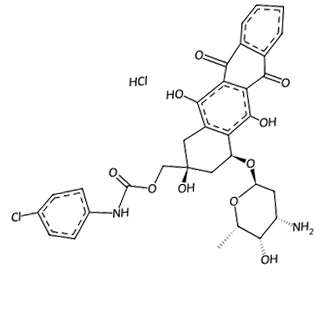 C[C@@H]1O[C@@H](O[C@H]2C[C@](O)(COC(=O)Nc3ccc(Cl)cc3)Cc3c(O)c4c(c(O)c32)C(=O)c2ccccc2C4=O)C[C@H](N)[C@@H]1O.Cl